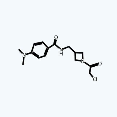 CN(C)c1ccc(C(=O)NCC2CN(C(=O)CCl)C2)cc1